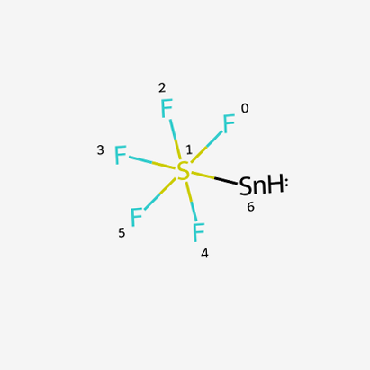 F[S](F)(F)(F)(F)[SnH]